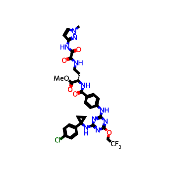 COC(=O)[C@H](CCNC(=O)C(=O)Nc1ccn(C)n1)NC(=O)c1ccc(Nc2nc(NC3(c4ccc(Cl)cc4)CC3)nc(OCC(F)(F)F)n2)cc1